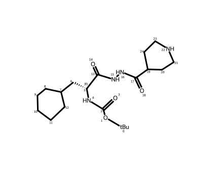 CC(C)(C)OC(=O)N[C@H](CC1CCCCC1)C(=O)NNC(=O)C1CCNCC1